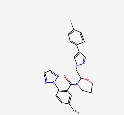 Cc1ccc(-n2nccn2)c(C(=O)N2CCCOC2Cn2cc(-c3ccc(F)cc3)cn2)c1